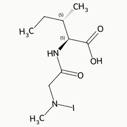 CC[C@H](C)[C@H](NC(=O)CN(C)I)C(=O)O